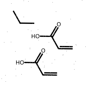 C=CC(=O)O.C=CC(=O)O.CCC